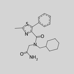 Cc1nc(C(=O)N(CC(N)=O)CC2CCCCC2)c(-c2ccccc2)s1